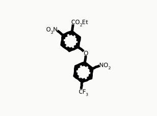 CCOC(=O)c1cc(Oc2ccc(C(F)(F)F)cc2[N+](=O)[O-])ccc1[N+](=O)[O-]